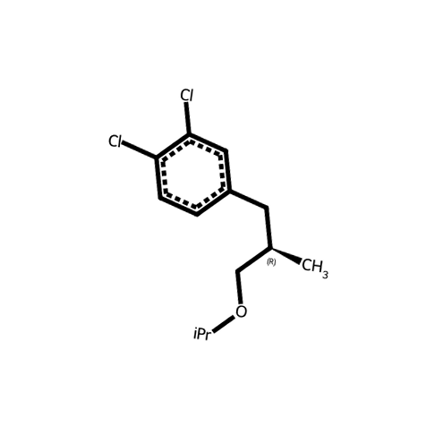 CC(C)OC[C@H](C)Cc1ccc(Cl)c(Cl)c1